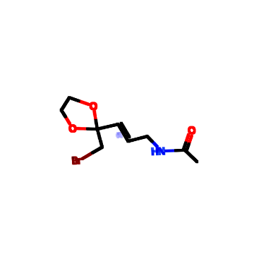 CC(=O)NC/C=C/C1(CBr)OCCO1